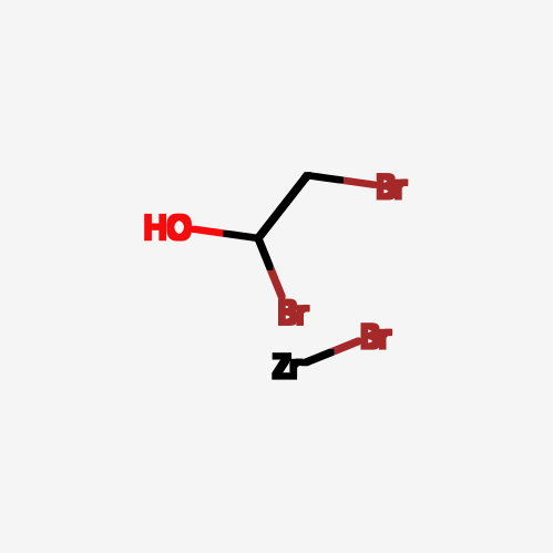 OC(Br)CBr.[Br][Zr]